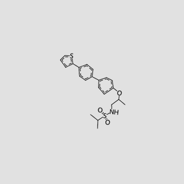 CC(CNS(=O)(=O)C(C)C)Oc1ccc(-c2ccc(-c3cccs3)cc2)cc1